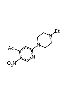 CCN1CCN(c2cc(C(C)=O)c([N+](=O)[O-])cn2)CC1